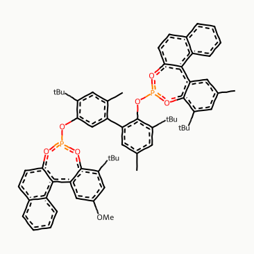 COc1cc(C(C)(C)C)c2op(Oc3cc(-c4cc(C)cc(C(C)(C)C)c4Op4oc5ccc6ccccc6c5c5cc(C)cc(C(C)(C)C)c5o4)c(C)cc3C(C)(C)C)oc3ccc4ccccc4c3c2c1